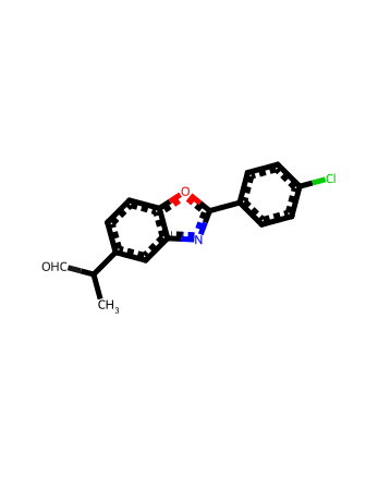 CC(C=O)c1ccc2oc(-c3ccc(Cl)cc3)nc2c1